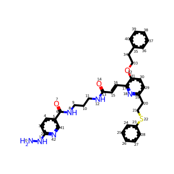 NNc1ccc(C(=O)NCCCNC(=O)/C=C/c2nc(CCSc3ccccc3)ccc2OCCc2ccccc2)cn1